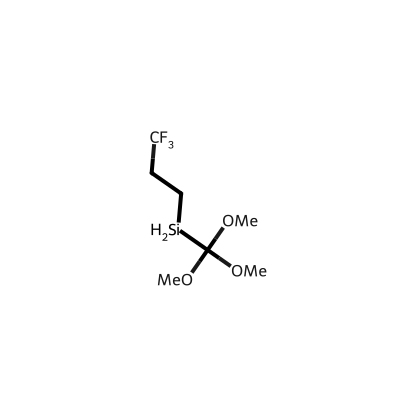 COC(OC)(OC)[SiH2]CCC(F)(F)F